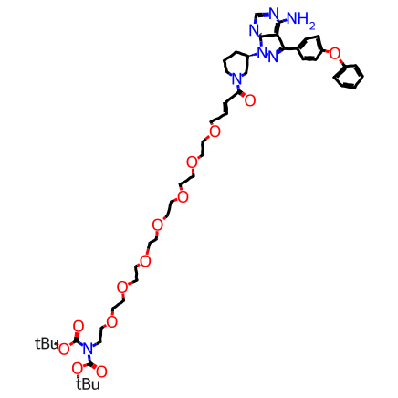 CC(C)(C)OC(=O)N(CCOCCOCCOCCOCCOCCOCCOC/C=C/C(=O)N1CCC[C@@H](n2nc(-c3ccc(Oc4ccccc4)cc3)c3c(N)ncnc32)C1)C(=O)OC(C)(C)C